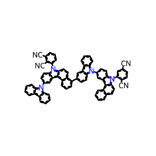 N#Cc1ccc(C#N)c(-n2c3ccc(-n4c5ccccc5c5cc(-c6cccc7c6ccc6c7c7cc(-n8c9ccccc9c9ccccc98)ccc7n6-c6cccc(C#N)c6C#N)ccc54)cc3c3c4ccccc4ccc32)c1